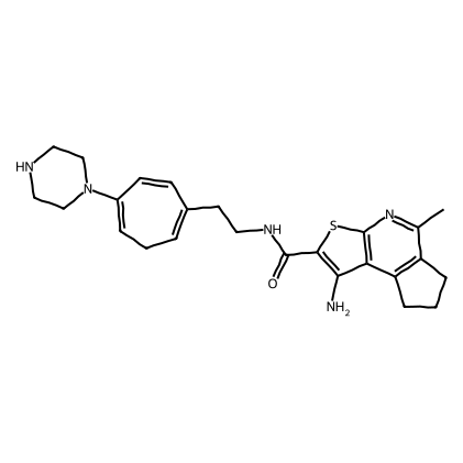 Cc1nc2sc(C(=O)NCCC3=CCC=C(N4CCNCC4)C=C3)c(N)c2c2c1CCC2